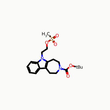 CC(C)(C)OC(=O)N1CCc2c(n(CCOS(C)(=O)=O)c3ccccc23)CC1